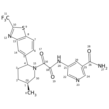 C[C@H]1CCC(c2ccc3sc(C(F)(F)F)nc3c2)N(C(=O)C(=O)Nc2cncc(C(N)=O)c2)C1